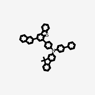 CC1(C)c2ccccc2-c2ccc(N(c3ccc(-c4ccccc4)cc3)c3ccc(-c4cc(-c5ccc6ccccc6c5)cc5c4sc4ccccc45)cc3)cc21